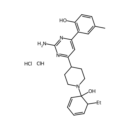 CCC1C=CC=CC1(O)N1CCC(c2cc(-c3cc(C)ccc3O)nc(N)n2)CC1.Cl.Cl